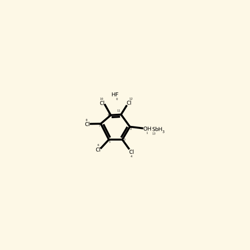 F.Oc1c(Cl)c(Cl)c(Cl)c(Cl)c1Cl.[SbH3]